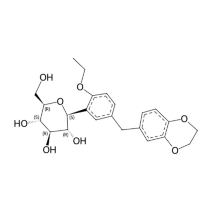 CCOc1ccc(Cc2ccc3c(c2)OCCO3)cc1[C@@H]1O[C@H](CO)[C@@H](O)[C@H](O)[C@H]1O